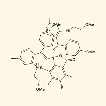 COCCNc1cc(C)ccc1C(=CC1(C=C(c2ccc(OC)cc2)c2ccc(C)cc2NCCOC)OC(=O)c2c(F)c(F)c(F)c(F)c21)c1ccc(OC)cc1